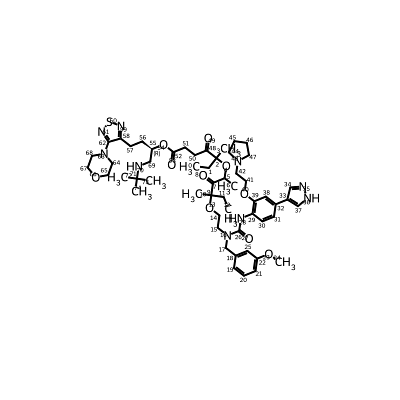 CCC(C)(OC(C)C(=O)C(C)(CC)OCCN(Cc1cccc(OC)c1)C(=O)Nc1ccc(-c2cn[nH]c2)cc1OCCN1CCCC1)C(=O)CCC(=O)O[C@H](CCc1nsnc1N1CCOCC1)CNC(C)(C)C